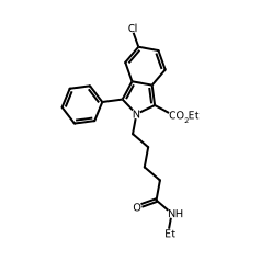 CCNC(=O)CCCCn1c(C(=O)OCC)c2ccc(Cl)cc2c1-c1ccccc1